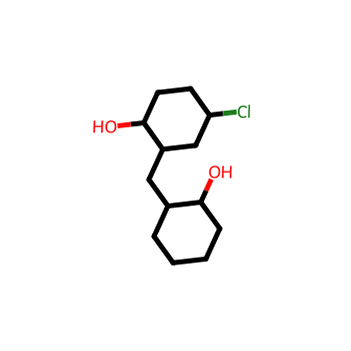 OC1CCCCC1CC1CC(Cl)CCC1O